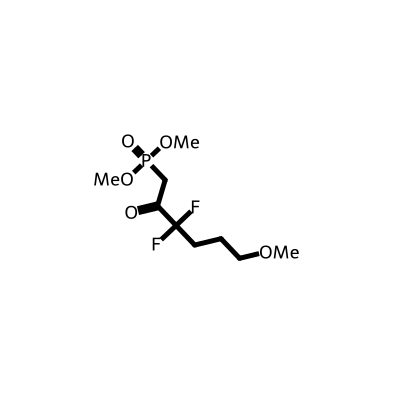 COCCCC(F)(F)C(=O)CP(=O)(OC)OC